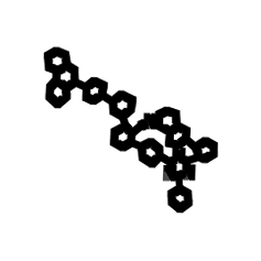 N#Cc1c(-c2ccc(-c3nc(-c4ccccc4)nc(-c4ccccc4-c4ccc5ccccc5c4)n3)cc2)cccc1-c1cccc(-c2ccc(-c3cc4ccccc4c4ccccc34)cc2)c1